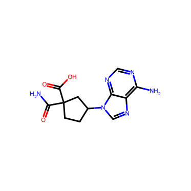 NC(=O)C1(C(=O)O)CCC(n2cnc3c(N)ncnc32)C1